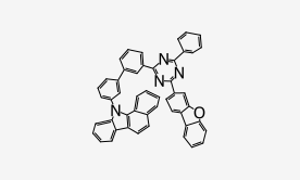 c1ccc(-c2nc(-c3cccc(-c4cccc(-n5c6ccccc6c6ccc7ccccc7c65)c4)c3)nc(-c3ccc4c(c3)oc3ccccc34)n2)cc1